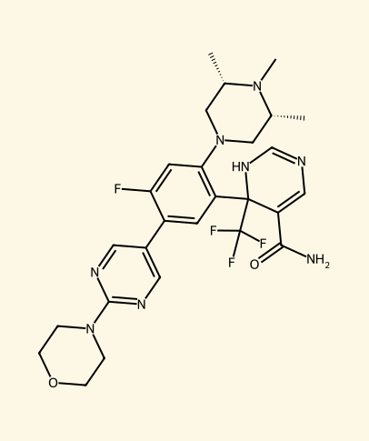 C[C@@H]1CN(c2cc(F)c(-c3cnc(N4CCOCC4)nc3)cc2C2(C(F)(F)F)NC=NC=C2C(N)=O)C[C@H](C)N1C